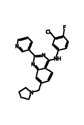 Fc1ccc(Nc2nc(-c3cccnc3)nc3cc(CN4CCCC4)ccc23)cc1Cl